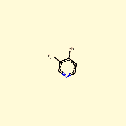 CC(C)(C)c1[c]cncc1C(F)(F)F